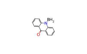 Bn1c2ccccc2c(=O)c2ccccc21